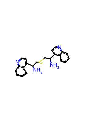 NC(CSCC(N)c1ccnc2ccccc12)c1ccnc2ccccc12